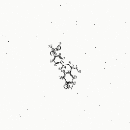 CCC(CC(C)c1ccc(OC(C)OC)cc1)c1ccc(O)cc1